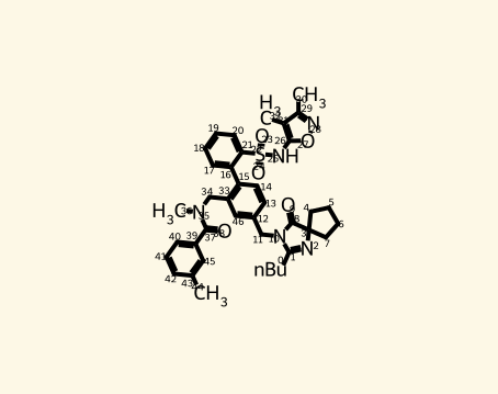 CCCCC1=NC2(CCCC2)C(=O)N1Cc1ccc(-c2ccccc2S(=O)(=O)Nc2onc(C)c2C)c(CN(C)C(=O)c2cccc(C)c2)c1